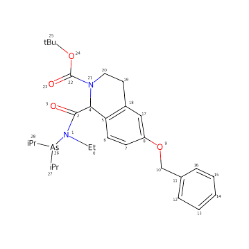 CCN(C(=O)C1c2ccc(OCc3ccccc3)cc2CCN1C(=O)OC(C)(C)C)[As](C(C)C)C(C)C